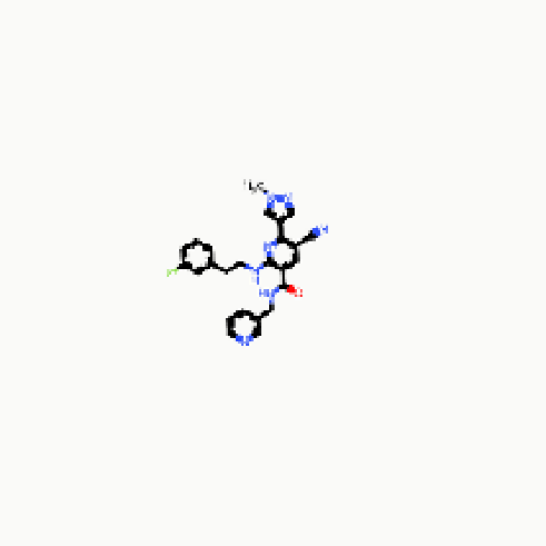 Cn1cc(-c2nc(NCCc3cccc(F)c3)c(C(=O)NCc3cccnc3)cc2C#N)cn1